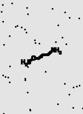 BOCCCN